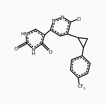 O=c1[nH]cc(-c2cc(C3CC3c3ccc(C(F)(F)F)cc3)c(Cl)nn2)c(=O)[nH]1